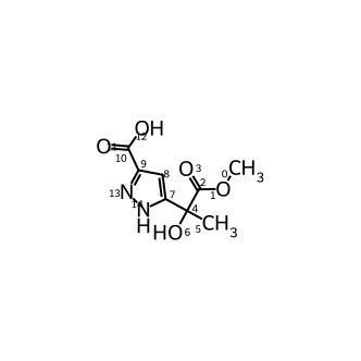 COC(=O)C(C)(O)c1cc(C(=O)O)n[nH]1